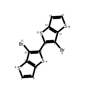 Brc1c(-c2sc3ccsc3c2Br)sc2ccsc12